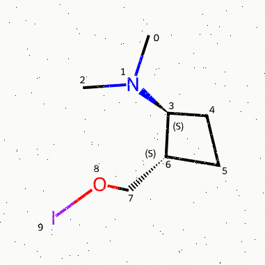 CN(C)[C@H]1CC[C@@H]1COI